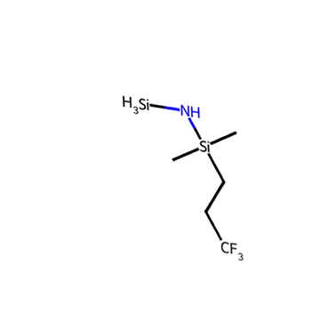 C[Si](C)(CCC(F)(F)F)N[SiH3]